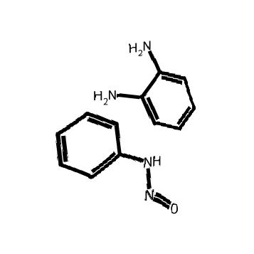 Nc1ccccc1N.O=NNc1ccccc1